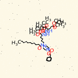 CCCCCCCCCCC(=O)N(CCCCC(NC(=O)NC(CCC(=O)OC(C)(C)C)C(=O)OC(C)(C)C)C(=O)OC(C)(C)C)N1CCN(C(=O)OCc2ccccc2)CC1